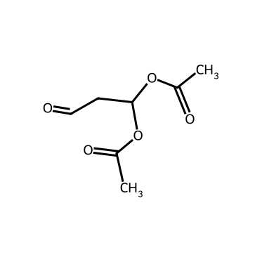 CC(=O)OC(CC=O)OC(C)=O